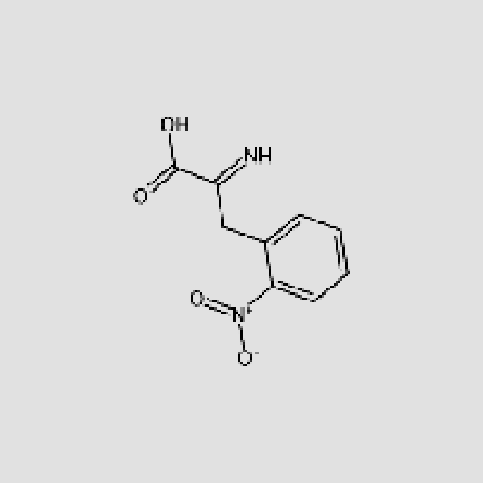 N=C(Cc1ccccc1[N+](=O)[O-])C(=O)O